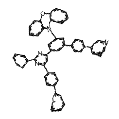 c1ccc(-c2ccc(-c3cc(-c4cc(-c5ccc(-c6cccnc6)cc5)cc(N5c6ccccc6Oc6ccccc65)c4)nc(-c4ccccc4)n3)cc2)cc1